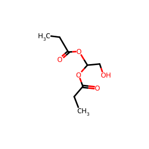 CCC(=O)OC(CO)OC(=O)CC